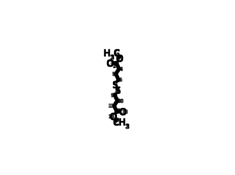 COC(=O)CCCSSCCCC(=O)OC